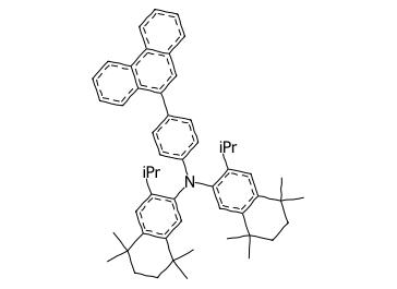 CC(C)c1cc2c(cc1N(c1ccc(-c3cc4ccccc4c4ccccc34)cc1)c1cc3c(cc1C(C)C)C(C)(C)CCC3(C)C)C(C)(C)CCC2(C)C